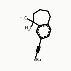 CCCCC#Cc1ccc2c(c1)C(C)(C)CCCC2